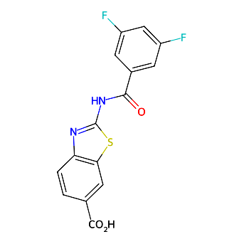 O=C(O)c1ccc2nc(NC(=O)c3cc(F)cc(F)c3)sc2c1